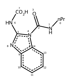 CCCNC(=O)n1c(NC(=O)O)nc2ccccc21